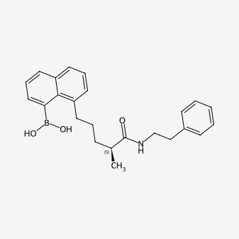 C[C@@H](CCCc1cccc2cccc(B(O)O)c12)C(=O)NCCc1ccccc1